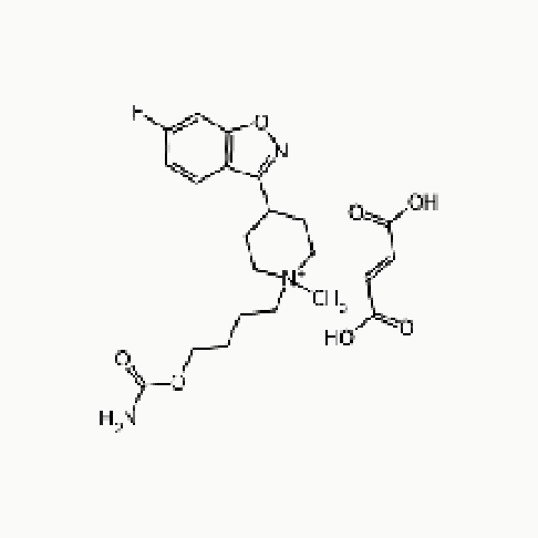 C[N+]1(CCCCOC(N)=O)CCC(c2noc3cc(F)ccc23)CC1.O=C(O)/C=C/C(=O)O